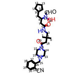 CC(C)(CNC(=O)CC(CC1CCCC1)N(O)C=O)CC(=O)N1CCN(Cc2ccccc2C#N)CC1